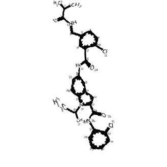 CC(C)C(=O)NCc1ccc(Cl)c(C(=O)Nc2ccc3c(c2)cc(C(=O)Nc2ccccc2Cl)n3C(C)C)c1